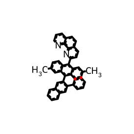 Cc1ccc2c(-c3cc4ccccc4cc3-c3ccccc3)c3cc(C)ccc3c(-c3ccc4ccc5cccnc5c4n3)c2c1